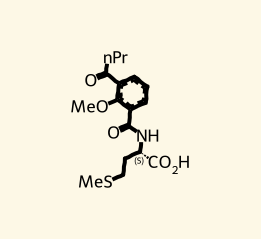 CCCC(=O)c1cccc(C(=O)N[C@@H](CCSC)C(=O)O)c1OC